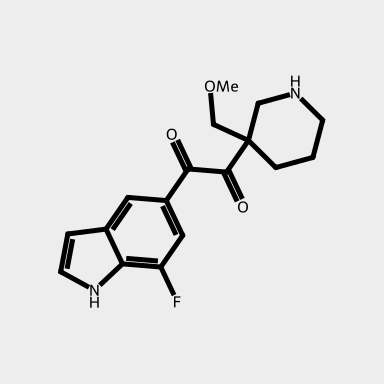 COCC1(C(=O)C(=O)c2cc(F)c3[nH]ccc3c2)CCCNC1